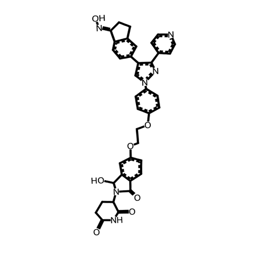 O=C1CCC(N2C(=O)c3ccc(OCCOc4ccc(-n5cc(-c6ccc7c(c6)CC/C7=N\O)c(-c6ccncc6)n5)cc4)cc3C2O)C(=O)N1